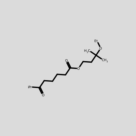 CCOC(C)(C)CCOC(=O)CCCCC(=O)C(C)C